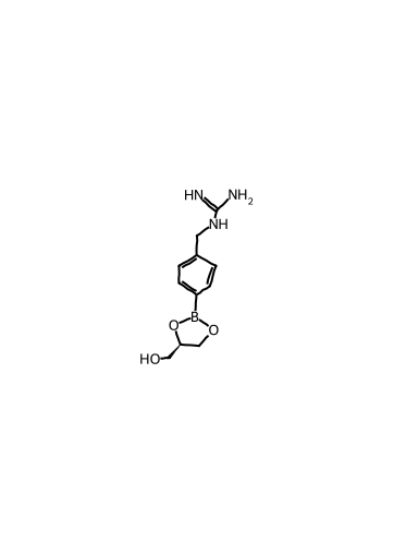 N=C(N)NCc1ccc(B2OC[C@@H](CO)O2)cc1